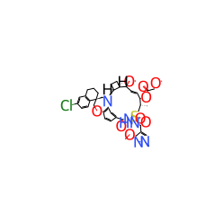 COCC(=O)O[C@H]1/C=C/[C@H](OC)[C@@H]2CC[C@H]2CN2C[C@@]3(CCCc4cc(Cl)ccc43)COc3ccc(cc32)C(=O)N=[S@](=O)(NC(=O)c2cn(C)nc2OC)C[C@H]1C